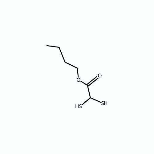 CCCCOC(=O)C(S)S